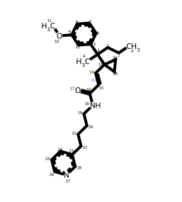 CCCC(C)(c1cccc(OC)c1)C1(/C=C/C(=O)NCCCCc2cccnc2)CC1